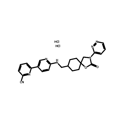 Cl.Cl.N#Cc1cccc(-c2ccc(NCC3CCC4(CC3)CN(c3cccnn3)C(=O)O4)nc2)n1